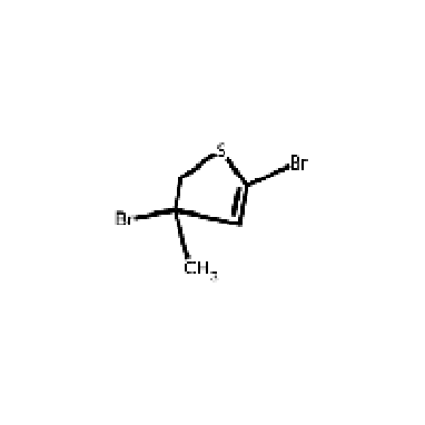 CC1(Br)C=C(Br)SC1